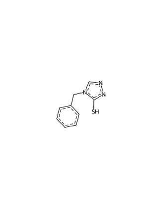 Sc1nncn1Cc1ccccc1